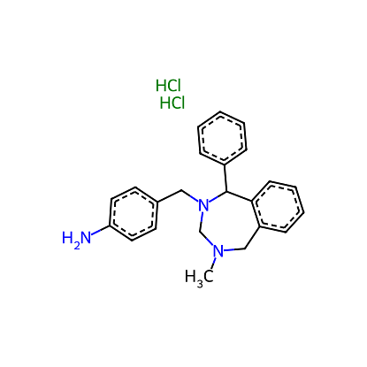 CN1Cc2ccccc2C(c2ccccc2)N(Cc2ccc(N)cc2)C1.Cl.Cl